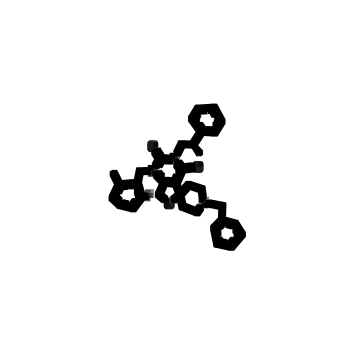 Cc1cccc(F)c1Cn1c2c(c(=O)n(C[C@H](C)c3ccccc3)c1=O)C1(CCN(Cc3ccccc3)CC1)OC2